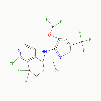 OCC1(Nc2ncc(C(F)(F)F)cc2OC(F)F)CCC(F)(F)c2c1ccnc2Cl